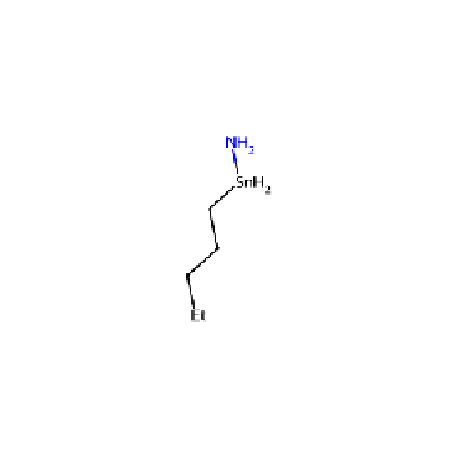 CCCC[CH2][SnH2][NH2]